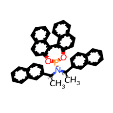 C[C@H](c1ccc2ccccc2c1)N([C@H](C)c1ccc2ccccc2c1)p1oc2ccc3ccccc3c2c2c(ccc3ccccc32)o1